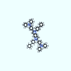 c1ccc(-c2ccc(-n3c(-c4ccc(N(c5ccccc5)c5ccccc5)cc4)cc4cc5c(cc(-c6ccc(N(c7ccccc7)c7ccccc7)cc6)n5-c5ccc(-c6ccccc6)cc5)cc43)cc2)cc1